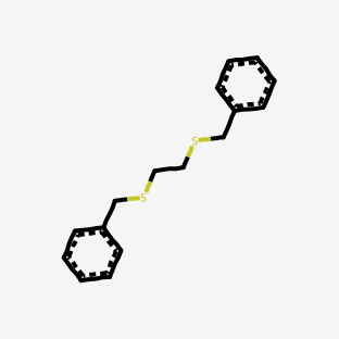 c1ccc(CSCCSCc2ccccc2)cc1